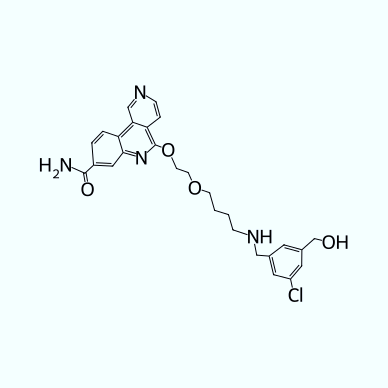 NC(=O)c1ccc2c(c1)nc(OCCOCCCCNCc1cc(Cl)cc(CO)c1)c1ccncc12